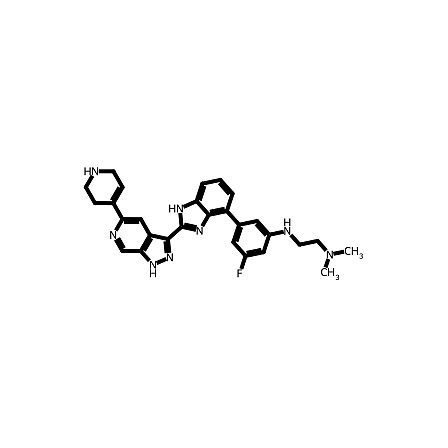 CN(C)CCNc1cc(F)cc(-c2cccc3[nH]c(-c4n[nH]c5cnc(C6=CCNCC6)cc45)nc23)c1